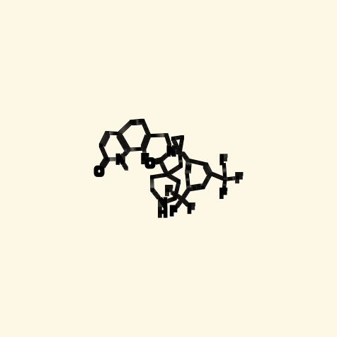 Cn1c(=O)ccc2ccc(CN(Cc3cc(C(F)(F)F)cc(C(F)(F)F)c3)C(=O)C3(CC4CC4)CCNCC3)c(F)c21